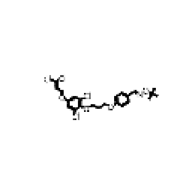 CC(C)(C)ON=Cc1ccc(OCCCOc2c(Cl)cc(OCC=C(Cl)Cl)cc2Cl)cc1